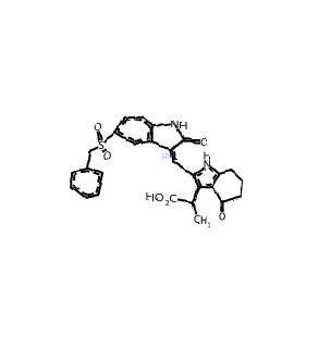 CC(C(=O)O)c1c(/C=C2\C(=O)Nc3ccc(S(=O)(=O)Cc4ccccc4)cc32)[nH]c2c1C(=O)CCC2